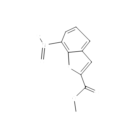 COC(=O)c1cc2cccc([N+](=O)[O-])c2s1